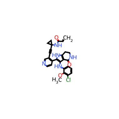 C=CC(=O)NC1(C#Cc2cnccc2-c2[nH]c3c(c2Nc2cccc(Cl)c2OC)C(=O)NCC3)CC1